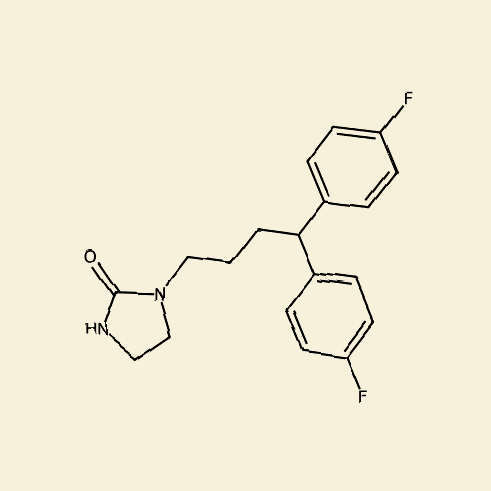 O=C1NCCN1CCCC(c1ccc(F)cc1)c1ccc(F)cc1